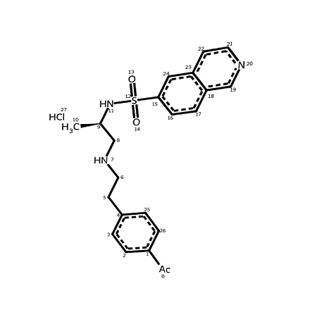 CC(=O)c1ccc(CCNC[C@@H](C)NS(=O)(=O)c2ccc3cnccc3c2)cc1.Cl